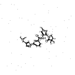 CN(C)Cc1cnn(-c2cccc(C(=O)Nc3cn(C)nc3N3CCC(C)(C)C3=O)n2)c1